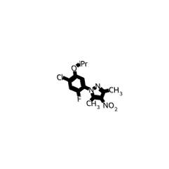 Cc1nn(-c2cc(OC(C)C)c(Cl)cc2F)c(C)c1[N+](=O)[O-]